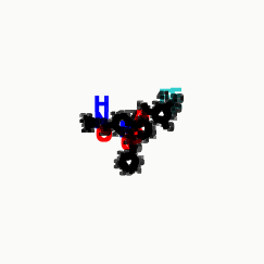 Cc1cc(C(C)OC[C@@]2(c3ccccc3)CC=C(C(=O)NC3CC3)CN2C(=O)OCc2ccccc2)cc(C(F)(F)F)c1